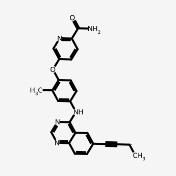 C[CH]C#Cc1ccc2ncnc(Nc3ccc(Oc4ccc(C(N)=O)nc4)c(C)c3)c2c1